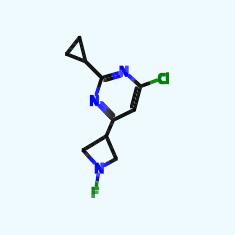 FN1CC(c2cc(Cl)nc(C3CC3)n2)C1